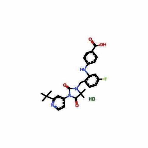 CC(C)(C)c1cc(N2C(=O)N(Cc3ccc(F)cc3Nc3ccc(C(=O)O)cc3)C(C)(C)C2=O)ccn1.Cl